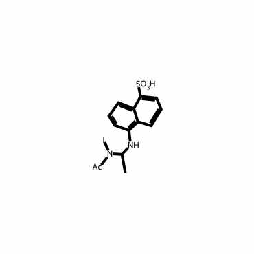 CC(=O)N(I)C(C)Nc1cccc2c(S(=O)(=O)O)cccc12